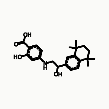 CC1(C)CCC(C)(C)c2cc(C(O)CNc3ccc(C(=O)O)c(O)c3)ccc21